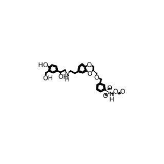 O=CONS(=O)(=O)c1cccc(COC[C@@H]2COc3ccc(CCNC[C@@H](O)c4ccc(O)c(CO)c4)cc3O2)c1